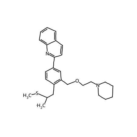 [CH2]C(Cc1ccc(-c2ccc3ccccc3n2)cc1COCCN1CCCCC1)SC